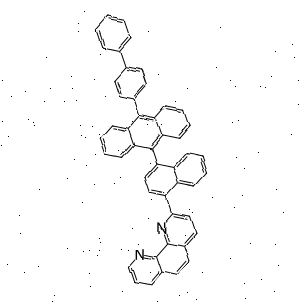 c1ccc(-c2ccc(-c3c4ccccc4c(-c4ccc(-c5ccc6ccc7cccnc7c6n5)c5ccccc45)c4ccccc34)cc2)cc1